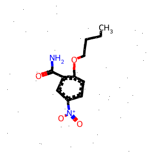 CCCCOc1ccc([N+](=O)[O-])cc1C(N)=O